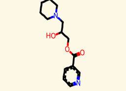 O=C(OCC(O)CN1CCCCC1)c1cccnc1